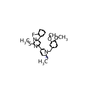 C/C=C1\C=CC(c2cc(-c3ccccc3F)nc(SC)n2)=CN1Cc1ccc(OC)c(OC)c1